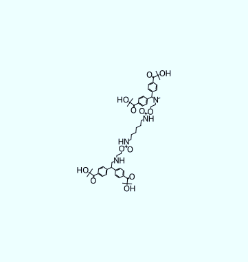 CN(CCOC(=O)NCCCCCCNC(=O)OCCNCC(c1ccc(C(=O)C(C)(C)O)cc1)c1ccc(C(=O)C(C)(C)O)cc1)C(c1ccc(C(=O)C(C)(C)O)cc1)c1ccc(C(=O)C(C)(C)O)cc1